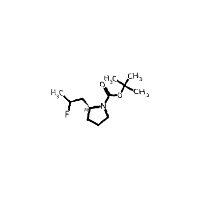 CC(F)C[C@@H]1CCCN1C(=O)OC(C)(C)C